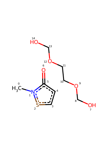 Cn1sccc1=O.OCOCCOCO